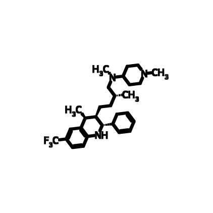 C[C@H](CC[C@@H]1[C@H](C)c2cc(C(F)(F)F)ccc2N[C@H]1C1C=CC=CC1)CN(C)C1CCN(C)CC1